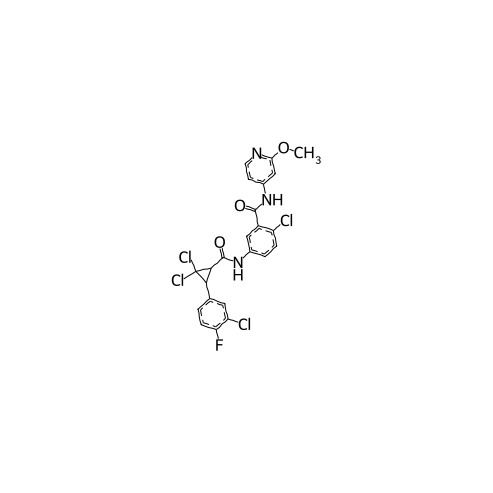 COc1cc(NC(=O)c2cc(NC(=O)C3C(c4ccc(F)c(Cl)c4)C3(Cl)Cl)ccc2Cl)ccn1